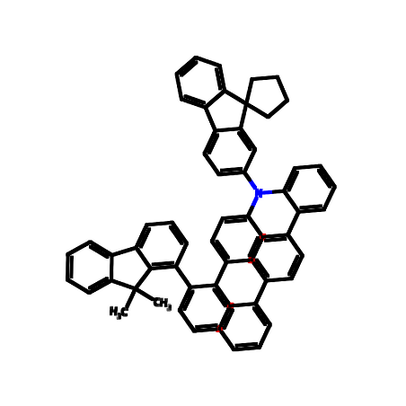 CC1(C)c2ccccc2-c2cccc(-c3ccccc3-c3ccc(N(c4ccc5c(c4)C4(CCCC4)c4ccccc4-5)c4ccccc4-c4ccc(-c5ccccc5)cc4)cc3)c21